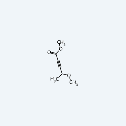 COC(=O)C#CC(C)OC